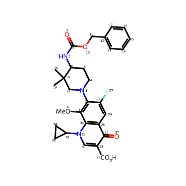 COc1c(N2CCC(NC(=O)OCc3ccccc3)C(C)(C)C2)c(F)cc2c(=O)c(C(=O)O)cn(C3CC3)c12